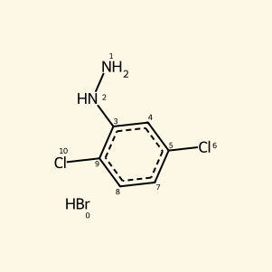 Br.NNc1cc(Cl)ccc1Cl